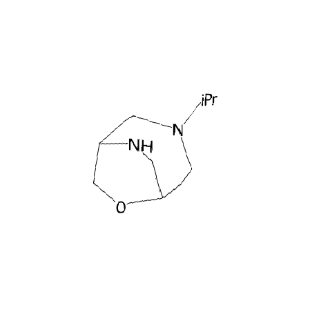 CC(C)N1CC2COC(CN2)C1